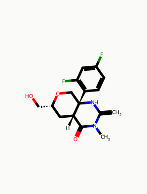 C=C1N[C@@]2(c3ccc(F)cc3F)CO[C@@H](CO)C[C@H]2C(=O)N1C